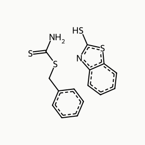 NC(=S)SCc1ccccc1.Sc1nc2ccccc2s1